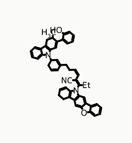 CC/C(=C(C#N)\C=C/CCC1=CC(n2c3c(c4ccccc42)CC(C)C(c2ccccc2O)=C3)CC=C1)n1c2c(c3cc4oc5ccccc5c4cc31)CCC=C2